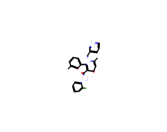 Cc1cccc(-c2c(C(=O)Nc3ccccc3Cl)c(=O)cc(C)n2Cc2cccnc2)c1